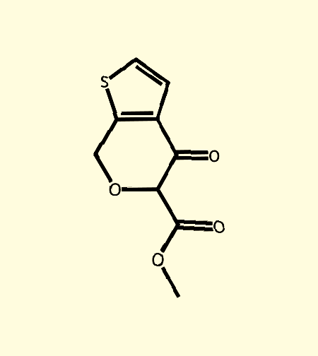 COC(=O)C1OCc2sccc2C1=O